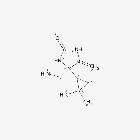 C=C1NC(=O)NC1(CN)C1CC1(C)C